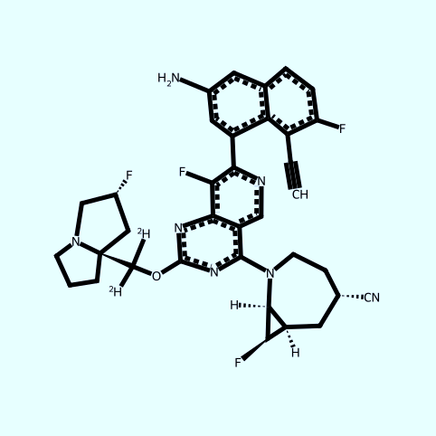 [2H]C([2H])(Oc1nc(N2CC[C@H](C#N)C[C@H]3[C@@H](F)[C@H]32)c2cnc(-c3cc(N)cc4ccc(F)c(C#C)c34)c(F)c2n1)[C@@]12CCCN1C[C@H](F)C2